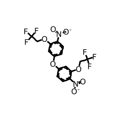 O=[N+]([O-])c1ccc(Oc2ccc([N+](=O)[O-])c(OCC(F)(F)F)c2)cc1OCC(F)(F)F